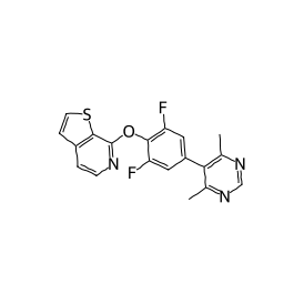 Cc1ncnc(C)c1-c1cc(F)c(Oc2nccc3ccsc23)c(F)c1